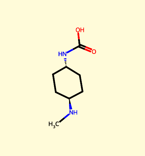 CN[C@H]1CC[C@H](NC(=O)O)CC1